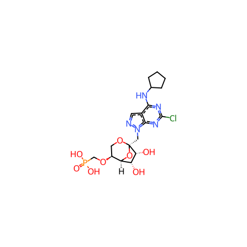 O=P(O)(O)CO[C@H]1CO[C@]2(Cn3ncc4c(NC5CCCC5)nc(Cl)nc43)O[C@H]1[C@@H](O)[C@H]2O